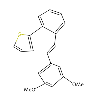 COc1cc(C=Cc2ccccc2-c2cccs2)cc(OC)c1